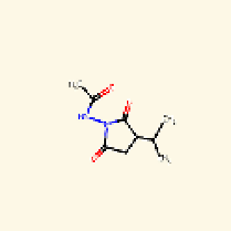 CC(=O)NN1C(=O)CC(C(C)C)C1=O